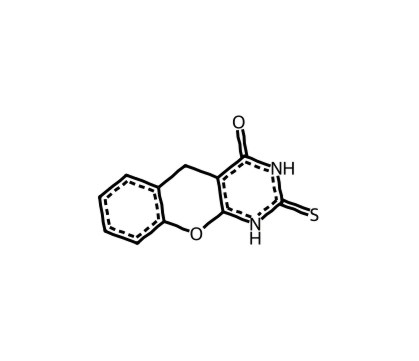 O=c1[nH]c(=S)[nH]c2c1Cc1ccccc1O2